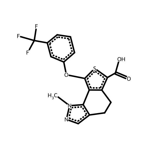 Cn1ncc2c1-c1c(Oc3cccc(C(F)(F)F)c3)sc(C(=O)O)c1CC2